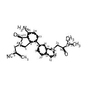 C=C(C#N)CN1Cc2c(-c3ccc4cnn(CC(=O)N(C)C)c4c3)ccc(N)c2C1=O